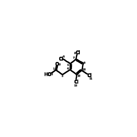 O=C(O)Cc1c(Cl)c(Cl)cc(Cl)c1Cl